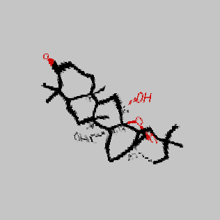 CC1(C)CC[C@@]23CC[C@]4(C=O)[C@@](OC2=O)(C3C1)[C@@H](O)CC1[C@@]2(C)CCC(=O)C(C)(C)C2CC[C@]14C